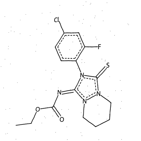 CCOC(=O)N=c1n(-c2ccc(Cl)cc2F)c(=S)n2n1CCCC2